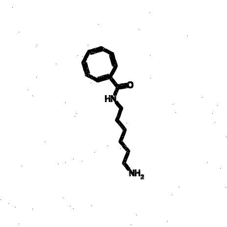 NCCCCCCNC(=O)C1=CC=CC=CC=C1